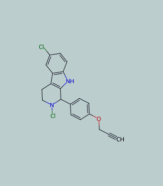 C#CCOc1ccc(C2c3[nH]c4ccc(Cl)cc4c3CCN2Cl)cc1